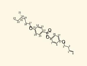 C=CCCOc1ccc(OC(=O)c2ccc(OCCC[C@@H](C)CC)cc2)cc1